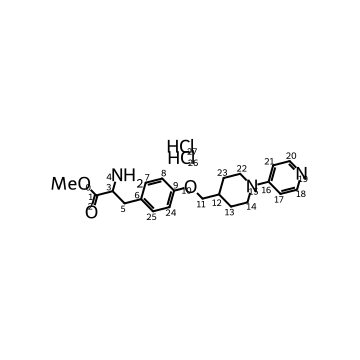 COC(=O)C(N)Cc1ccc(OCC2CCN(c3ccncc3)CC2)cc1.Cl.Cl